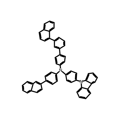 c1cc(-c2ccc(N(c3ccc(-c4ccc5ccccc5c4)cc3)c3ccc(-n4c5ccccc5c5ccccc54)cc3)cc2)cc(-c2cccc3ccccc23)c1